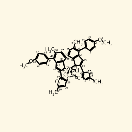 COc1ccc(-c2c(C)ccc3c2C=C(c2ccc(C)o2)[CH]3[Zr]([Cl])([Cl])([CH]2C(c3ccc(C)o3)=Cc3c2ccc(C)c3-c2ccc(OC)cc2)=[Si](C)C)cc1